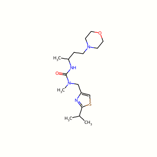 CC(CCN1CCOCC1)NC(=O)N(C)Cc1csc(C(C)C)n1